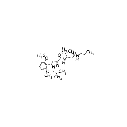 CCCNC(=O)CC(NC(=O)c1cc(-c2c(OC)cccc2OC)n(CC(C)C)n1)C(C)C